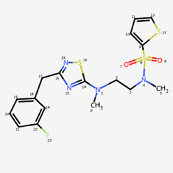 CN(CCN(C)S(=O)(=O)c1cccs1)c1nc(Cc2cccc(F)c2)ns1